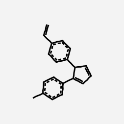 C=Cc1ccc(C2C=CC=C2c2ccc(C)cc2)cc1